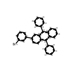 Brc1cccc(-c2ccc3c(-c4ccccc4)c4ccccc4c(-c4ccccc4)c3c2)c1